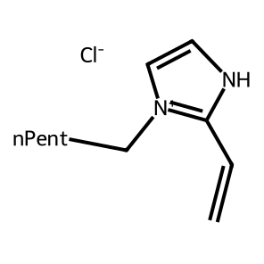 C=Cc1[nH]cc[n+]1CCCCCC.[Cl-]